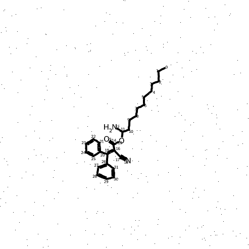 CCCCCCCCCCCC(N)OC(=O)C(C#N)=C(c1ccccc1)c1ccccc1